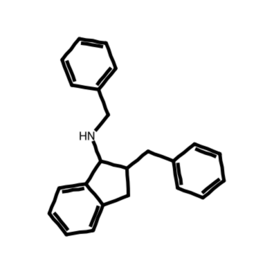 c1ccc(CNC2c3ccccc3CC2Cc2ccccc2)cc1